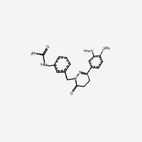 COc1ccc(C2=NN(Cc3cccc(NC(=O)C(C)C)c3)C(=O)CC2)cc1OC